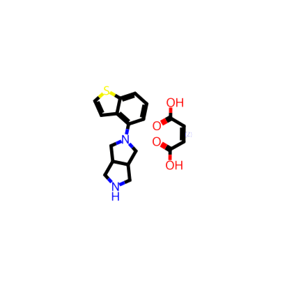 O=C(O)/C=C\C(=O)O.c1cc(N2CC3CNCC3C2)c2ccsc2c1